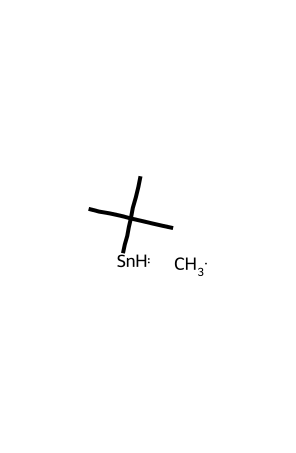 C[C](C)(C)[SnH].[CH3]